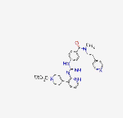 CCOC(=O)N1CC=C(c2ccc[nH]/c2=N\C(=N)Nc2ccc(C(=O)N(C)CCc3ccncc3)cc2)CC1